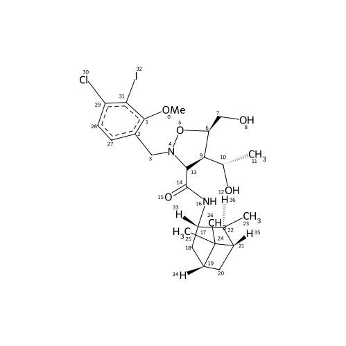 COc1c(CN2O[C@@H](CO)[C@@H]([C@H](C)O)C2C(=O)N[C@H]2C[C@H]3C[C@@H]([C@@H]2C)C3(C)C)ccc(Cl)c1I